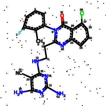 Cc1c(F)cccc1-n1c(CCNc2nc(N)nc(N)c2C#N)nc2cccc(Cl)c2c1=O